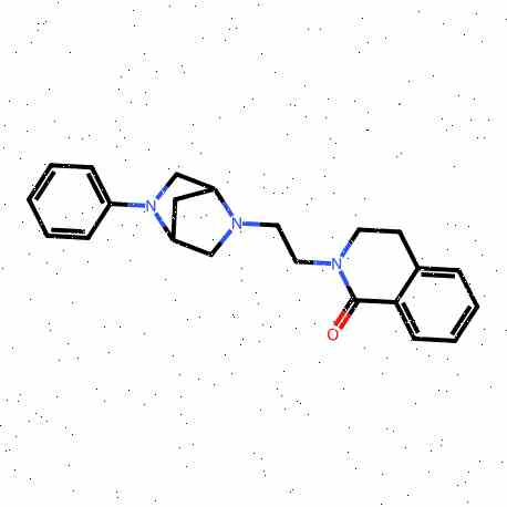 O=C1c2ccccc2CCN1CCN1CC2CC1CN2c1ccccc1